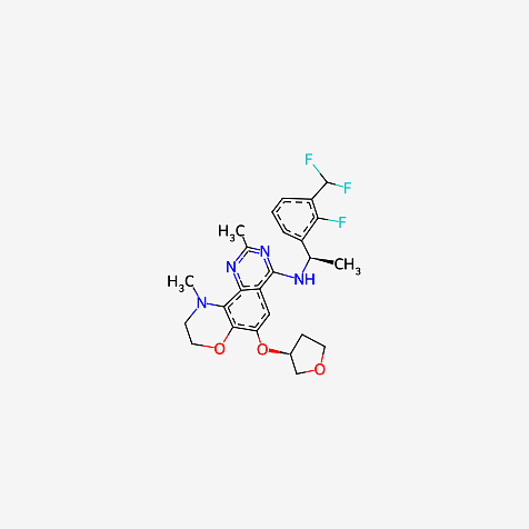 Cc1nc(N[C@H](C)c2cccc(C(F)F)c2F)c2cc(O[C@H]3CCOC3)c3c(c2n1)N(C)CCO3